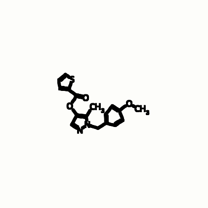 COc1ccc(Cn2ncc(OC(=O)c3cccs3)c2C)cc1